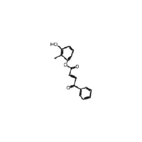 Cc1c(O)cccc1OC(=O)C=CC(=O)c1ccccc1